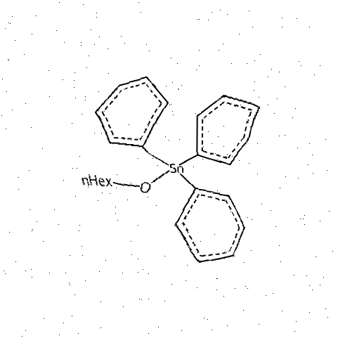 CCCCCC[O][Sn]([c]1ccccc1)([c]1ccccc1)[c]1ccccc1